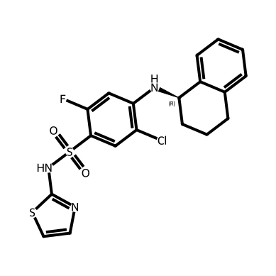 O=S(=O)(Nc1nccs1)c1cc(Cl)c(N[C@@H]2CCCc3ccccc32)cc1F